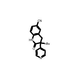 CCCCC1(c2ccncc2)Cc2cc(C#N)ccc2NC1=O